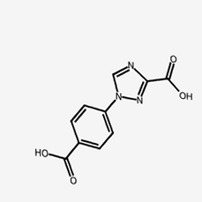 O=C(O)c1ccc(-n2cnc(C(=O)O)n2)cc1